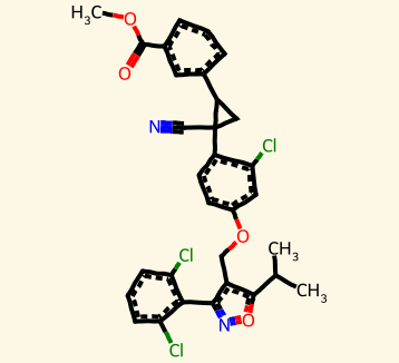 COC(=O)c1cccc(C2CC2(C#N)c2ccc(OCc3c(-c4c(Cl)cccc4Cl)noc3C(C)C)cc2Cl)c1